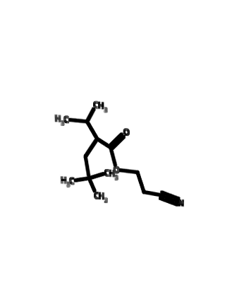 CC(C)C(CC(C)(C)C)C(=O)OCCC#N